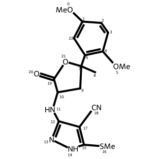 COc1ccc(OC)c(C2(C)CC(Nc3n[nH]c(SC)c3C#N)C(=O)O2)c1